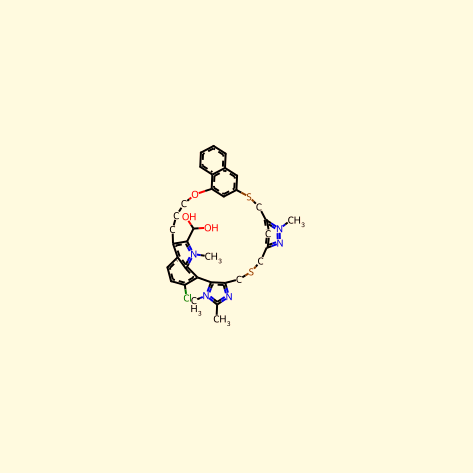 Cc1nc2c(n1C)-c1c(Cl)ccc3c(c(C(O)O)n(C)c13)CCCOc1cc(cc3ccccc13)SCc1cc(nn1C)CSC2